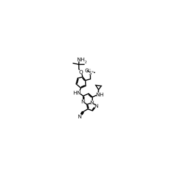 C[S+]([O-])Cc1cc(Nc2cc(NC3CC3)n3ncc(C#N)c3n2)ccc1OCC(C)(C)N